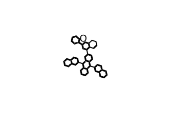 C1=Cc2c(-c3ccc4c(-c5ccc6ccccc6c5)c5ccccc5c(-c5ccc6ccccc6c5)c4c3)cc3c(oc4ccccc43)c2CC1